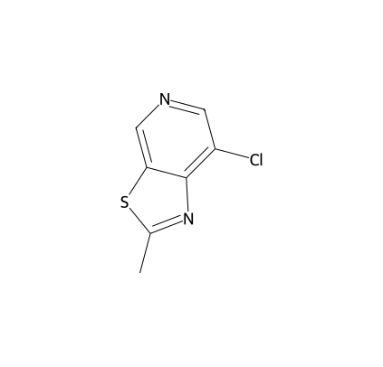 Cc1nc2c(Cl)cncc2s1